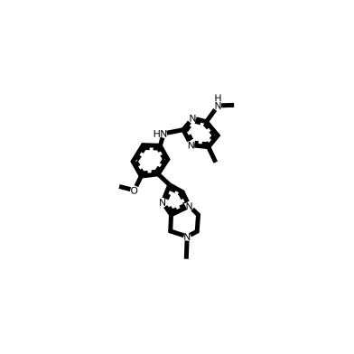 CNc1cc(C)nc(Nc2ccc(OC)c(-c3cn4c(n3)CN(C)CC4)c2)n1